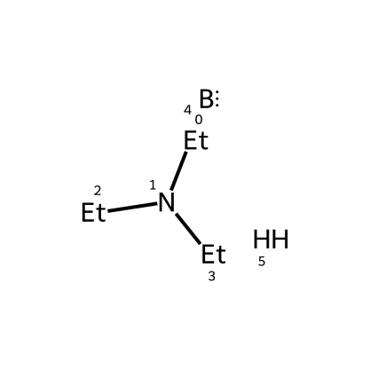 CCN(CC)CC.[B].[HH]